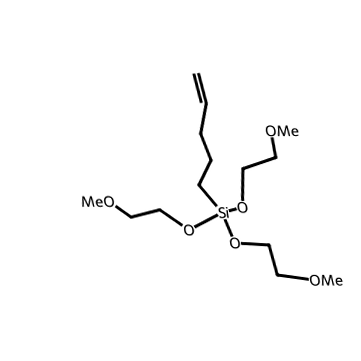 C=CCCC[Si](OCCOC)(OCCOC)OCCOC